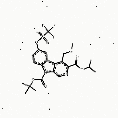 COCc1c(C(=O)OC(C)C)ncc2c1c1cc(OS(=O)(=O)C(F)(F)F)ccc1n2C(=O)OC(C)(C)C